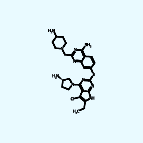 CCc1[nH]c2nc(Sc3ccc4c(N)nc(CN5CCC(N)CC5)nc4c3)nc(N3CC[C@H](N)C3)c2c1Cl